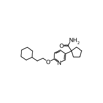 NC(=O)C1(c2ccc(OCCC3CCCCC3)nc2)CCCC1